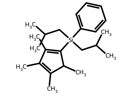 CC1=C(C)C(C)C([Si](CC(C)C)(CC(C)C)c2ccccc2)=C1C